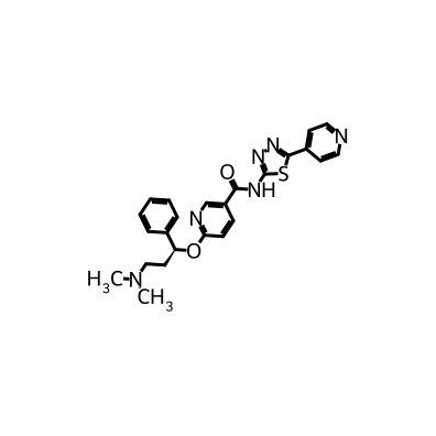 CN(C)CC[C@H](Oc1ccc(C(=O)Nc2nnc(-c3ccncc3)s2)cn1)c1ccccc1